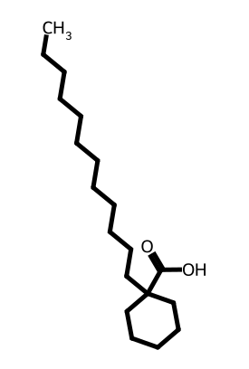 CCCCCCCCCCCCC1(C(=O)O)CCCCC1